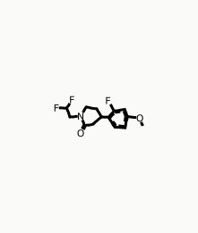 COc1ccc(C2CCN(CC(F)F)C(=O)C2)c(F)c1